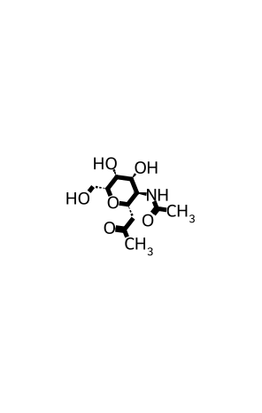 CC(=O)C[C@@H]1O[C@H](CO)[C@H](O)[C@H](O)[C@H]1NC(C)=O